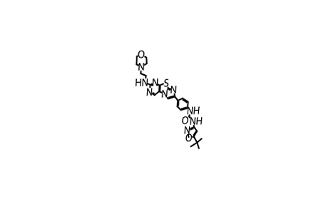 CC(C)(C)c1cc(NC(=O)Nc2ccc(-c3cn4c(n3)sc3nc(NCCN5CCOCC5)ncc34)cc2)no1